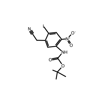 CC(C)(C)OC(=O)Nc1cc(CC#N)c(I)cc1[N+](=O)[O-]